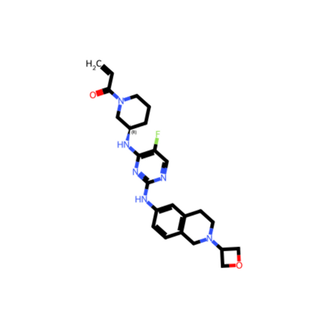 C=CC(=O)N1CCC[C@@H](Nc2nc(Nc3ccc4c(c3)CCN(C3COC3)C4)ncc2F)C1